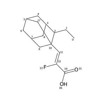 CCC1C2CC3CC(C2)CC1(C=C(F)C(=O)O)C3